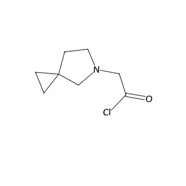 O=C(Cl)CN1CCC2(CC2)C1